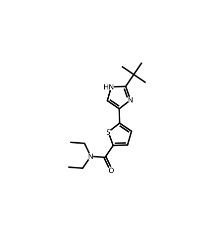 CCN(CC)C(=O)c1ccc(-c2c[nH]c(C(C)(C)C)n2)s1